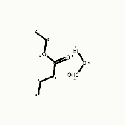 CCCC(=O)OCC.CCOC=O